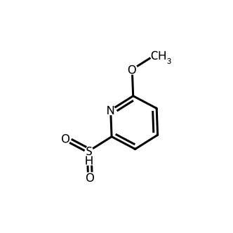 COc1cccc([SH](=O)=O)n1